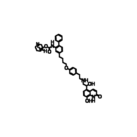 O=C(Nc1cc(CCCCOc2ccc(CCNCC(O)c3ccc(O)c4[nH]c(=O)ccc34)cc2)ccc1-c1ccccc1)O[C@H]1CN2CCC1CC2